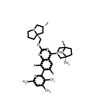 Cc1cc(N)nc(-c2c(F)cc3c(N4C[C@@H]5CC[C@@](C)(C4)N5)nc(OC[C@@]45CCCN4C[C@H](F)C5)nc3c2F)c1C(F)(F)F